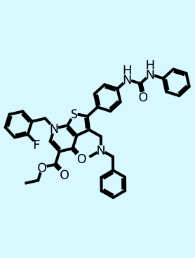 CCOC(=O)c1cn(Cc2ccccc2F)c2sc(-c3ccc(NC(=O)Nc4ccccc4)cc3)c(CN(C)Cc3ccccc3)c2c1=O